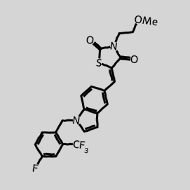 COCCN1C(=O)S/C(=C\c2ccc3c(ccn3Cc3ccc(F)cc3C(F)(F)F)c2)C1=O